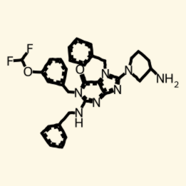 NC1CCCN(c2nc3nc(NCc4ccccc4)n(Cc4cccc(OC(F)F)c4)c(=O)c3n2Cc2ccccc2)C1